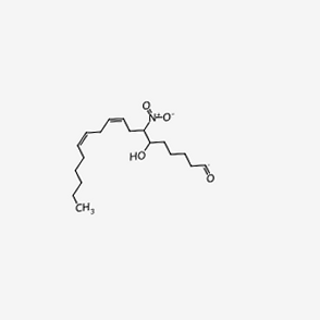 CCCCC/C=C\C/C=C\CC(C(O)CCCC[C]=O)[N+](=O)[O-]